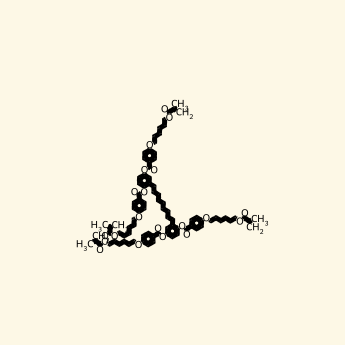 C=C(C)C(=O)OCCCCCCOc1ccc(C(=O)Oc2ccc(OC(=O)c3ccc(OCCCCCCOC(=O)C(=C)C)cc3)c(CCCCCCCCCc3cc(OC(=O)c4ccc(OCCCCCCOC(=O)C(=C)C)cc4)ccc3OC(=O)c3ccc(OCCCCCCOC(=O)C(=C)C)cc3)c2)cc1